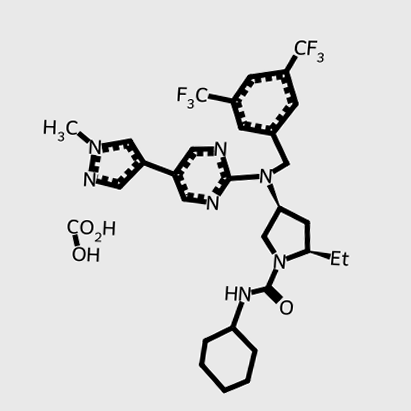 CC[C@@H]1C[C@H](N(Cc2cc(C(F)(F)F)cc(C(F)(F)F)c2)c2ncc(-c3cnn(C)c3)cn2)CN1C(=O)NC1CCCCC1.O=C(O)O